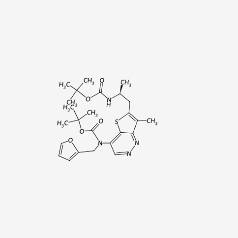 Cc1c(C[C@H](C)NC(=O)OC(C)(C)C)sc2c(N(Cc3ccco3)C(=O)OC(C)(C)C)cnnc12